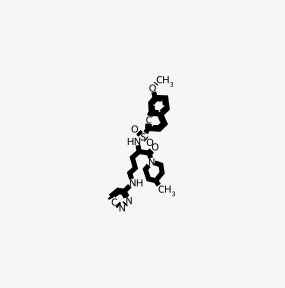 COc1ccc2ccc(S(=O)(=O)NC(CCCNc3cccnn3)C(=O)N3CCC(C)CC3)cc2c1